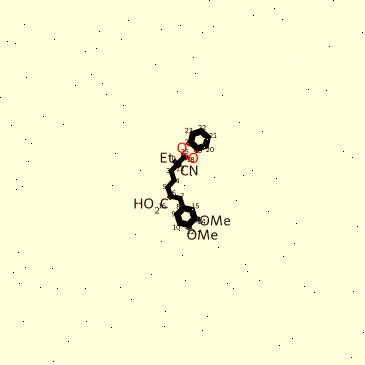 CCC(C#N)(CCCC(Cc1ccc(OC)c(OC)c1)C(=O)O)C1Oc2ccccc2O1